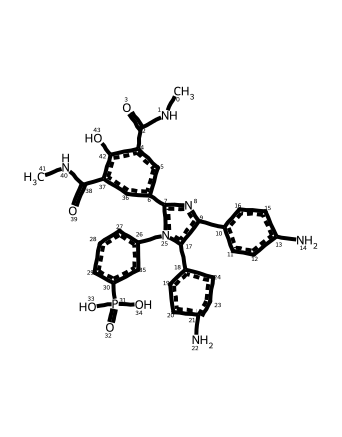 CNC(=O)c1cc(-c2nc(-c3ccc(N)cc3)c(-c3ccc(N)cc3)n2-c2cccc(P(=O)(O)O)c2)cc(C(=O)NC)c1O